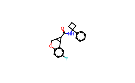 O=C(NC1(c2ccccc2)CCC1)C1C2COc3ccc(F)cc3C21